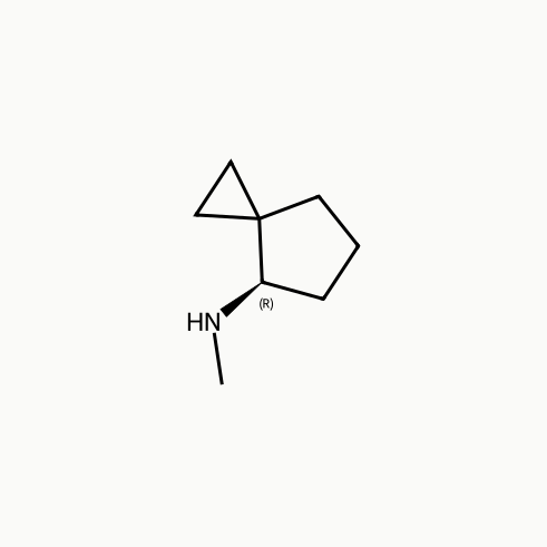 CN[C@@H]1CCCC12CC2